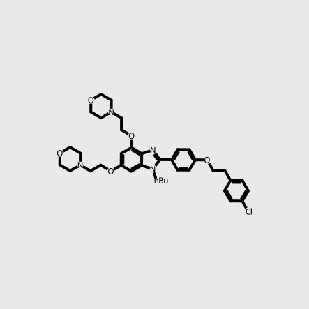 CCCCn1c(-c2ccc(OCCc3ccc(Cl)cc3)cc2)nc2c(OCCN3CCOCC3)cc(OCCN3CCOCC3)cc21